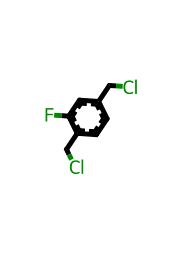 Fc1cc(CCl)ccc1CCl